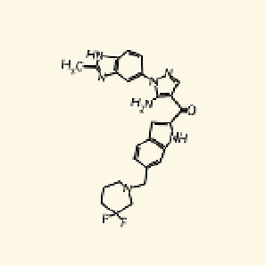 Cc1nc2cc(-n3ncc(C(=O)c4cc5ccc(CN6CCCC(F)(F)C6)cc5[nH]4)c3N)ccc2[nH]1